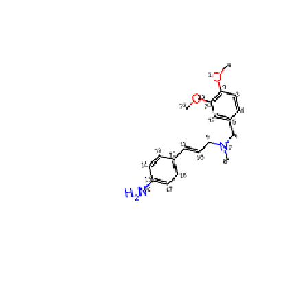 COc1ccc(CN(C)C/C=C/c2ccc(N)cc2)cc1OC